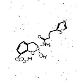 O=C(CCc1cncs1)N[C@H]1Cc2cccc(C(=O)O)c2OB1O